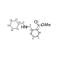 COC(=O)c1ccccc1CNCC1CCCCC1